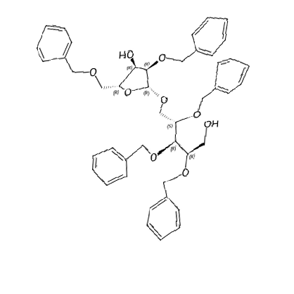 OC[C@@H](OCc1ccccc1)[C@@H](OCc1ccccc1)[C@H](CO[C@@H]1O[C@H](COCc2ccccc2)[C@@H](O)[C@H]1OCc1ccccc1)OCc1ccccc1